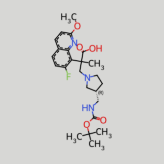 COc1ccc2ccc(F)c(C(C)(CN3CC[C@H](CNC(=O)OC(C)(C)C)C3)C(=O)O)c2n1